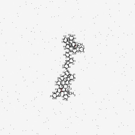 CC1(C)c2ccccc2-c2ccc(N(c3cccc(-c4cccc5c4sc4ccc(-c6ccc7c(c6)-c6ccccc6C76c7ccccc7-c7ccc(N(c8ccc9c(c8)C(C)(C)c8ccccc8-9)c8ccccc8-c8ccc9oc%10ccccc%10c9c8)cc76)cc45)c3)c3ccc4c(c3)C3(c5ccccc5-c5ccccc53)c3ccccc3-4)cc21